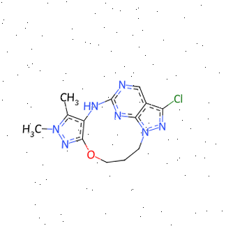 Cc1c2c(nn1C)OCCCn1nc(Cl)c3cnc(nc31)N2